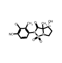 Cc1c(N2C(=O)C3(C)[C@H](O)CCN3S2(=O)=O)ccc(C#N)c1Cl